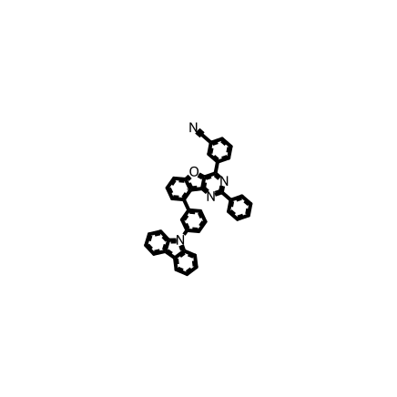 N#Cc1cccc(-c2nc(-c3ccccc3)nc3c2oc2cccc(-c4cccc(-n5c6ccccc6c6ccccc65)c4)c23)c1